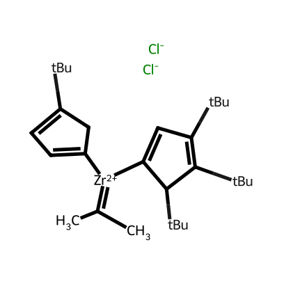 C[C](C)=[Zr+2]([C]1=CC=C(C(C)(C)C)C1)[C]1=CC(C(C)(C)C)=C(C(C)(C)C)C1C(C)(C)C.[Cl-].[Cl-]